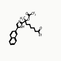 CCC(=O)CCCCCC(C)(OC(=O)C(F)(F)F)c1ncc(-c2ccc3ccccc3c2)[nH]1